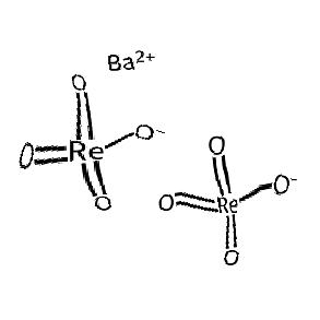 [Ba+2].[O]=[Re](=[O])(=[O])[O-].[O]=[Re](=[O])(=[O])[O-]